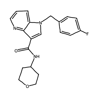 O=C(NC1CCOCC1)c1cn(Cc2ccc(F)cc2)c2cccnc12